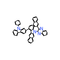 c1ccc(-n2c3ccccc3c3ccc(-c4cccc5c4c4cc6ccccc6cc4n5-c4nc5ccccc5nc4-c4ccc5ccccc5c4)cc32)cc1